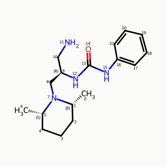 C[C@@H]1CCC[C@H](C)N1C[C@@H](CN)NC(=O)Nc1ccccc1